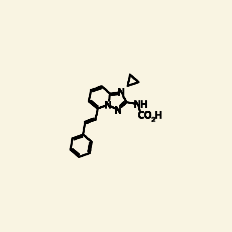 C1CC1.O=C(O)Nc1nc2cccc(/C=C/c3ccccc3)n2n1